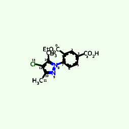 CCOC(=O)c1cc(C(=O)O)ccc1-n1nc(C)c(Cl)c1C